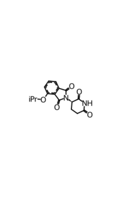 CC(C)Oc1cccc2c1C(=O)N([C@@H]1CCC(=O)NC1=O)C2=O